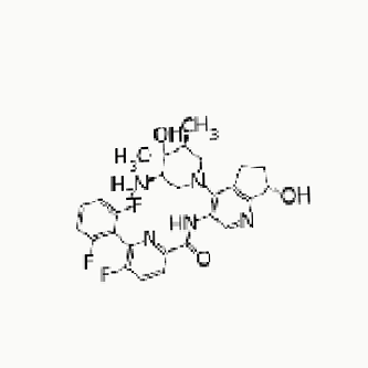 C[C@H]1CN(c2c(NC(=O)c3ccc(F)c(-c4c(F)cccc4F)n3)cnc3c2CC[C@@H]3O)C[C@@H](N)[C@@]1(C)O